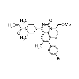 C=CC(=O)N1[C@H](C)CN(c2nc(=O)n3c4c(c(-c5ccc(Br)cc5)c(C)cc24)SC[C@@H]3COC)C[C@@H]1C